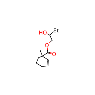 CCC(O)COC(=O)C1(C)C=CCCC1